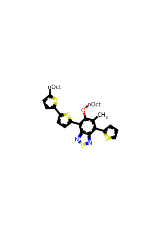 CCCCCCCCOc1c(C)c(-c2cccs2)c2nsnc2c1-c1ccc(-c2ccc(CCCCCCCC)s2)s1